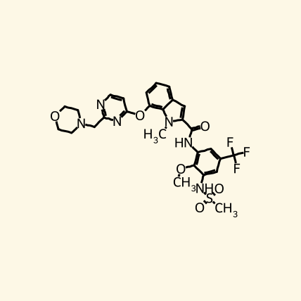 COc1c(NC(=O)c2cc3cccc(Oc4ccnc(CN5CCOCC5)n4)c3n2C)cc(C(F)(F)F)cc1NS(C)(=O)=O